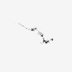 COCCOCCOCCOCCOc1ccc(C2=CN3C(=O)c4cc(OC)c(OCCCCCOc5cc6c(cc5OC)C(=O)N5C=C(c7ccc(NC(=O)[C@H](C)NC(=O)[C@@H](NC(=O)CCCCCN8C(=O)C=CC8=O)C(C)C)cc7)C[C@@H]5C=N6)cc4N=C[C@H]3C2)cc1